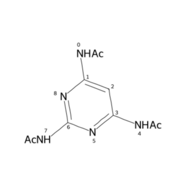 CC(=O)Nc1cc(NC(C)=O)nc(NC(C)=O)n1